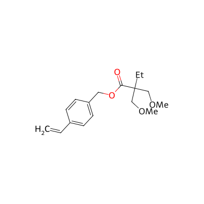 C=Cc1ccc(COC(=O)C(CC)(COC)COC)cc1